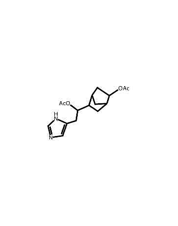 CC(=O)OC1CC2CC1CC2C(Cc1cnc[nH]1)OC(C)=O